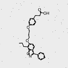 CCCc1c(OCCCOc2ccc(CCC(=O)O)cc2)ccc2c(-c3ccccc3)noc12